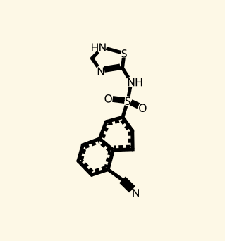 N#Cc1cccc2cc(S(=O)(=O)NC3=NCNS3)ccc12